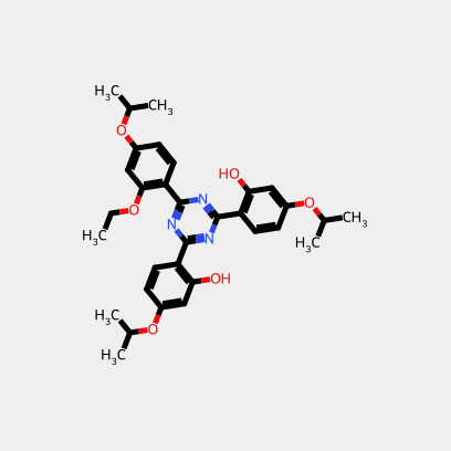 CCOc1cc(OC(C)C)ccc1-c1nc(-c2ccc(OC(C)C)cc2O)nc(-c2ccc(OC(C)C)cc2O)n1